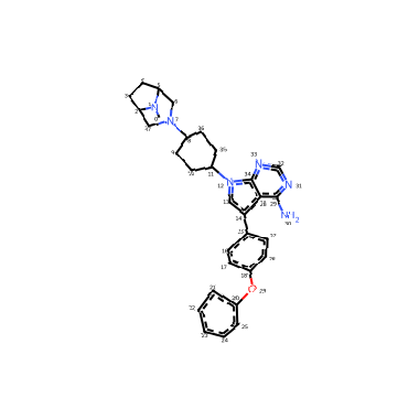 CN1C2CCC1CN(C1CCC(n3cc(-c4ccc(Oc5ccccc5)cc4)c4c(N)ncnc43)CC1)C2